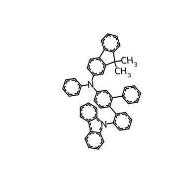 CC1(C)c2ccccc2-c2ccc(N(c3ccccc3)c3ccc(-c4ccccc4-n4c5ccccc5c5ccccc54)c(-c4ccccc4)c3)cc21